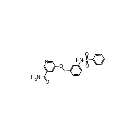 NC(=O)c1cncc(OCc2cccc(NS(=O)(=O)c3ccccc3)c2)c1